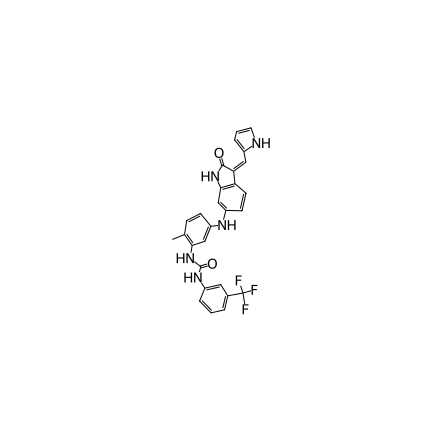 Cc1ccc(Nc2ccc3c(c2)NC(=O)/C3=C\c2ccc[nH]2)cc1NC(=O)Nc1cccc(C(F)(F)F)c1